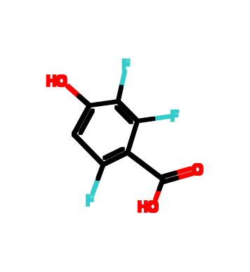 O=C(O)c1c(F)cc(O)c(F)c1F